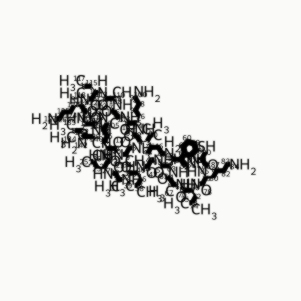 CC(C)C[C@H](NC(=O)[C@H](C)NC(=O)[C@H](CCCCN)NC(=O)[C@H](CC(C)C)NC(=O)[C@H](C)NC(=O)[C@H](CC(C)C)NC(=O)[C@H](CCCCN)NC(=O)[C@H](Cc1c[nH]c2ccccc12)NC(=O)[C@H](C)NC(=O)[C@H](CC(C)C)NC(=O)[C@H](CCCCN)NC(=O)[C@@H](N)CS)C(=O)N[C@@H](CCCCN)C(=O)N[C@@H](C)C(=O)N[C@@H](C)C(=O)N[C@@H](CC(C)C)C(=O)N[C@@H](CCCCN)C(=O)N[C@@H](CC(C)C)C(=O)N[C@@H](C)C(N)=O